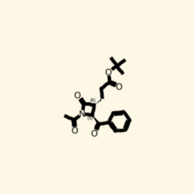 CC(=O)N1C(=O)[C@H](CCC(=O)OC(C)(C)C)[C@H]1C(=O)c1ccccc1